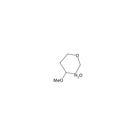 COC1CCOCC1.O